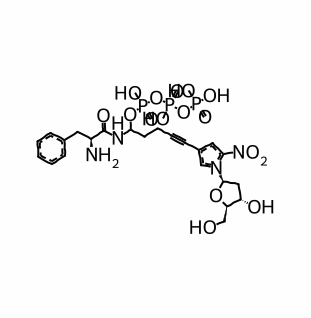 N[C@@H](Cc1ccccc1)C(=O)NC(CCC#Cc1cc([N+](=O)[O-])n([C@H]2C[C@H](O)[C@@H](CO)O2)c1)OP(=O)(O)OP(=O)(O)OP(=O)(O)O